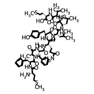 CSCC[C@H](NC(=O)[C@@H](NC(=O)[C@H](CC(C)C)NC(=O)[C@H](CC(C)C)NC(=O)[C@H](Cc1ccc(O)cc1)NC(=O)[C@H](CCC(N)=O)NC(=O)[C@H](Cc1ccccc1)NC(=O)[C@H](C)NC(=O)[C@H](Cc1ccccc1)NC(=O)[C@@H](N)CCSC)C(C)C)C(=O)O